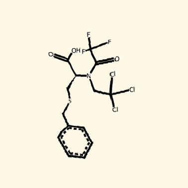 O=C(O)[C@H](CSCc1ccccc1)N(CC(Cl)(Cl)Cl)C(=O)C(F)(F)F